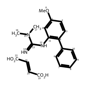 COc1ccc(-c2ccccc2)c(NC(=N)N(C)C)c1.O=C(O)/C=C/C(=O)O